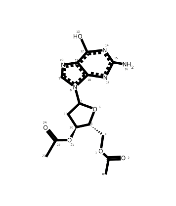 CC(=O)OC[C@H]1OC(n2cnc3c(O)nc(N)nc32)C[C@@H]1OC(C)=O